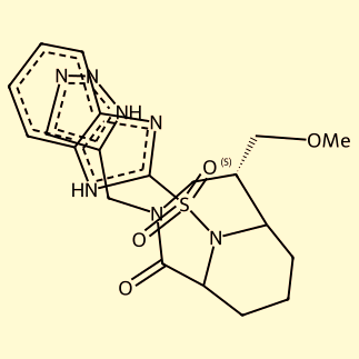 COC[C@H]1CN(Cc2cnn[nH]2)C(=O)C2CCCC1N2S(=O)(=O)c1nc2ccccc2[nH]1